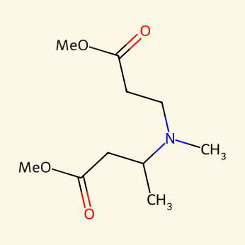 COC(=O)CCN(C)C(C)CC(=O)OC